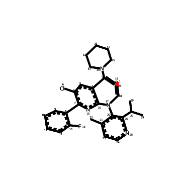 C/N=C(\c1cc(Cl)c(-c2ccccc2F)nc1N(C=O)c1c(C)ccnc1C(C)C)N1CCCCC1